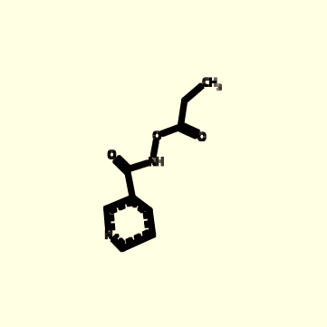 CCC(=O)ONC(=O)c1cccnc1